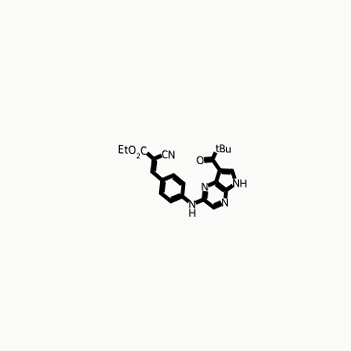 CCOC(=O)C(C#N)=Cc1ccc(Nc2cnc3[nH]cc(C(=O)C(C)(C)C)c3n2)cc1